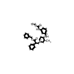 C[C@@H]1CN(CC(C(=O)OCc2ccccc2)c2ccccc2)CC[C@@H]1Nc1cccc(NC(=O)OC(C)(C)C)c1